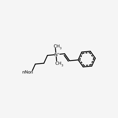 CCCCCCCCCCCC[N+](C)(C)C=Cc1ccccc1